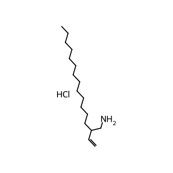 C=CC(CN)CCCCCCCCCCCCC.Cl